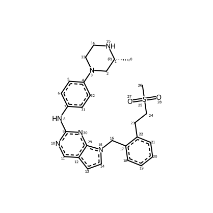 C[C@@H]1CN(c2ccc(Nc3ncc4ccn(Cc5ccccc5CCS(C)(=O)=O)c4n3)cc2)CCN1